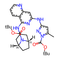 Cc1cc(Nc2cc3ncccc3c(NC3C[C@H]4CC[C@@H](C3)N4C(=O)OC(C)(C)C)n2)nn1C(=O)OC(C)(C)C